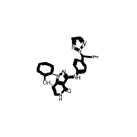 CC(C)C(c1ccc(Nc2nn([C@H]3CCCC[C@@H]3C)c3cc[nH]c(=O)c23)cc1)n1nccn1